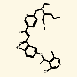 CCCC(CCC)N(CC)Cc1ccc(/C(F)=C/c2n[nH]c3ccc(O[C@H](C)c4c(C)cncc4Cl)cc23)cn1